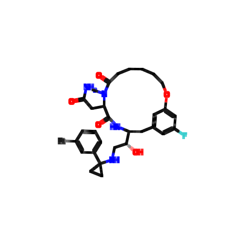 CCc1cccc(C2(NC[C@@H](O)C3Cc4cc(F)cc(c4)OCCCCCC(=O)N(C)C(CC(N)=O)C(=O)N3)CC2)c1